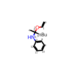 C=COC(C)(CCCC)Nc1ccccc1